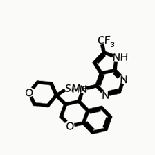 CSC1(C2COc3ccccc3C2Nc2ncnc3[nH]c(C(F)(F)F)cc23)CCOCC1